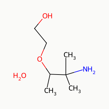 CC(OCCO)C(C)(C)N.O